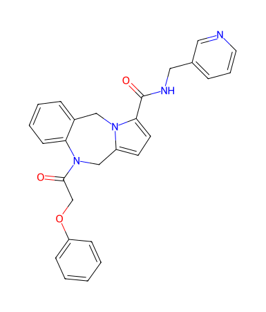 O=C(NCc1cccnc1)c1ccc2n1Cc1ccccc1N(C(=O)COc1ccccc1)C2